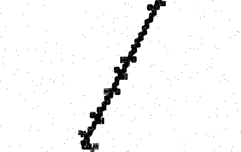 [2H]C(COCCNC(=O)COCCOCCNC(=O)CCCNC(=O)CCCNC(=O)CCCCCCCCCCCCCCC(=O)OC(C)(C)C)OCC(=O)O